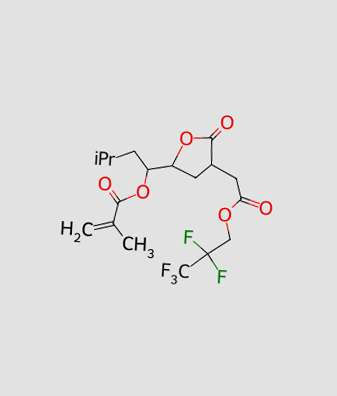 C=C(C)C(=O)OC(CC(C)C)C1CC(CC(=O)OCC(F)(F)C(F)(F)F)C(=O)O1